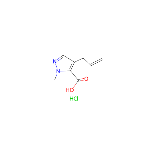 C=CCc1cnn(C)c1C(=O)O.Cl